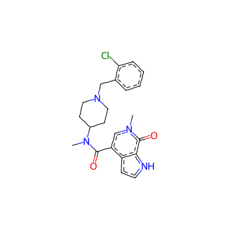 CN(C(=O)c1cn(C)c(=O)c2[nH]ccc12)C1CCN(Cc2ccccc2Cl)CC1